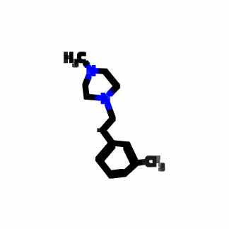 CN1CCN(C[CH]c2cccc(C(F)(F)F)c2)CC1